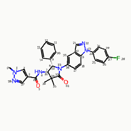 Cn1cc(C(=O)N[C@H]2[C@H](c3ccccc3)N(c3ccc4c(cnn4-c4ccc(F)cc4)c3)C(=O)C2(C)C)cn1